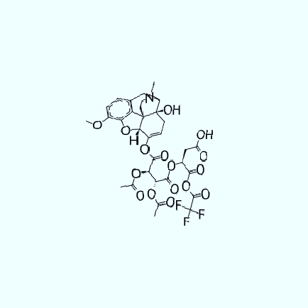 COc1ccc2c3c1O[C@H]1C(OC(=O)[C@H](OC(C)=O)[C@@H](OC(C)=O)C(=O)O[C@@H](CC(=O)O)C(=O)OC(=O)C(F)(F)F)=CC[C@@]4(O)C(C2)N(C)CC[C@]314